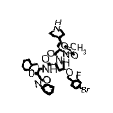 CS(=O)(=O)N[C@H](CCC1CCNCC1)C(=O)N1C[C@H](OCc2ccc(Br)cc2F)C[C@H]1C(=O)N[C@@H](CC1CCCCC1)C(=O)c1nc2ccccc2o1